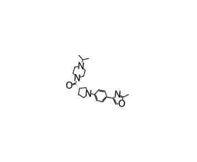 Cc1nc(-c2ccc(N3CC[C@H](C(=O)N4CCN(C(C)C)CC4)C3)cc2)co1